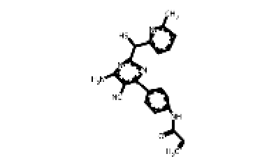 C=CC(=O)Nc1ccc(-c2nc(C(S)c3cccc(C)n3)nc(N)c2C#N)cc1